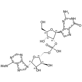 CNc1ncnc2c1ncn2[C@@H]1O[C@H](COP(=O)(O)O[C@@H]2[C@H](O)[C@@H](CO)O[C@H]2n2cnc3c(=O)[nH]c(N)nc32)[C@@H](O)[C@H]1O